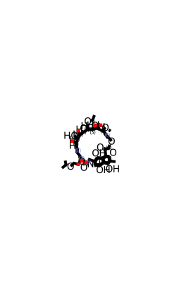 CO[C@H]1/C=C/O[C@@]2(C)Oc3c(C)c(O)c4c(O)c(c(/C=N/OCCOC(C)C)c(O)c4c3C2=O)NC(=O)/C(C)=C\C=C\[C@H](C)[C@H](O)[C@@H](C)[C@@H](O)[C@@H](C)[C@H](OC(C)=O)[C@@H]1C